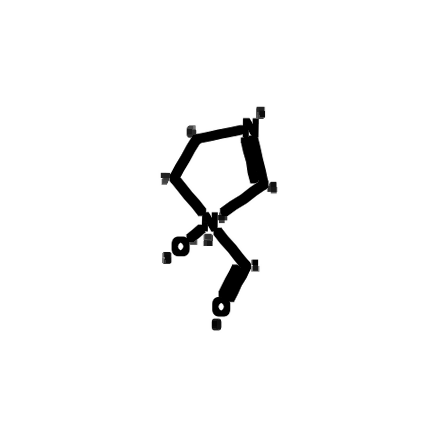 O=C[N+]1([O-])C=NCC1